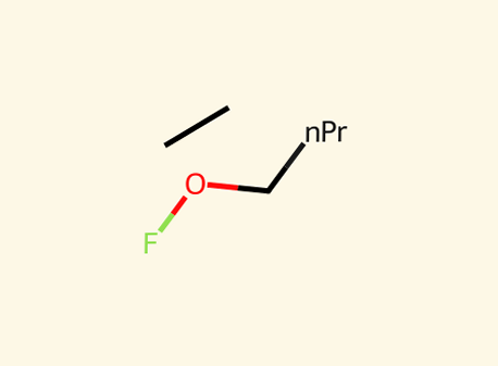 CC.CCCCOF